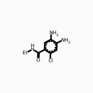 CCNC(=O)c1cc(N)c(N)cc1Cl